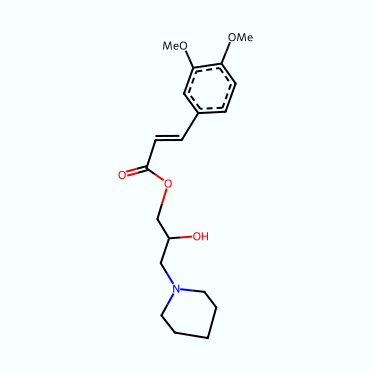 COc1ccc(C=CC(=O)OCC(O)CN2CCCCC2)cc1OC